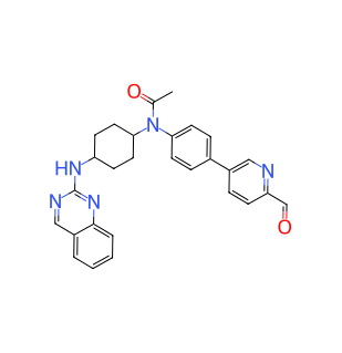 CC(=O)N(c1ccc(-c2ccc(C=O)nc2)cc1)C1CCC(Nc2ncc3ccccc3n2)CC1